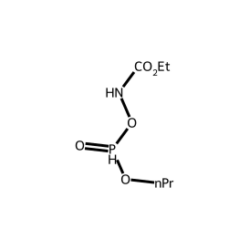 CCCO[PH](=O)ONC(=O)OCC